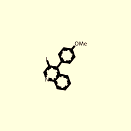 COc1ccc(-c2c(I)cnc3ccccc23)cc1